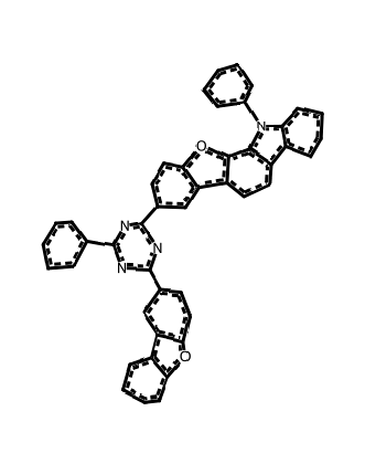 c1ccc(-c2nc(-c3ccc4oc5ccccc5c4c3)nc(-c3ccc4oc5c(ccc6c7ccccc7n(-c7ccccc7)c65)c4c3)n2)cc1